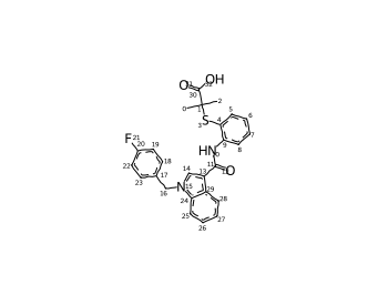 CC(C)(Sc1ccccc1NC(=O)c1cn(Cc2ccc(F)cc2)c2ccccc12)C(=O)O